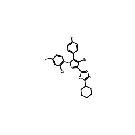 Clc1ccc(-c2c(Br)c(-c3nnc(C4CCCCC4)o3)nn2-c2ccc(Cl)cc2Cl)cc1